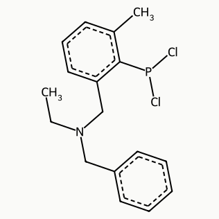 CCN(Cc1ccccc1)Cc1cccc(C)c1P(Cl)Cl